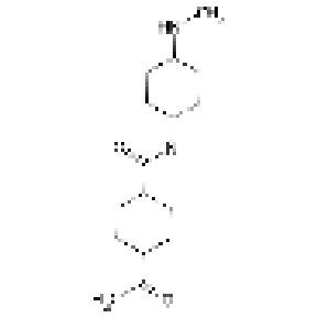 CNC1CCC(NC(=O)C2CCC(C(C)=O)CC2)CC1